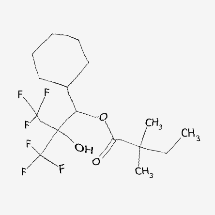 CCC(C)(C)C(=O)OC(C1CCCCC1)C(O)(C(F)(F)F)C(F)(F)F